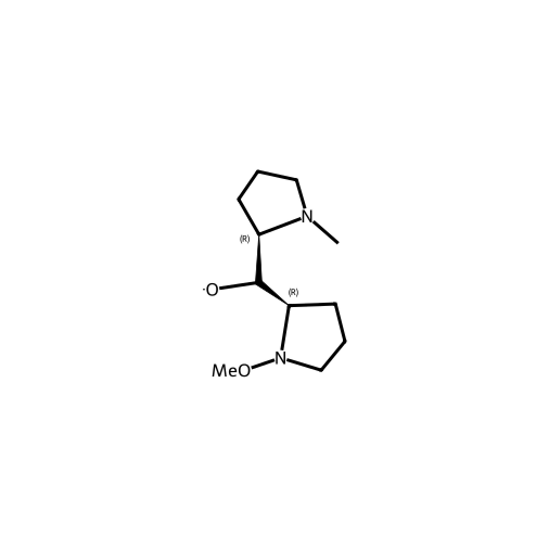 CON1CCC[C@@H]1C([O])[C@H]1CCCN1C